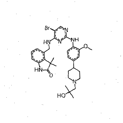 COc1cc(C2CCN(CC(C)(C)O)CC2)ccc1Nc1ncc(Br)c(NCc2cccc3c2C(C)(C)C(=O)N3)n1